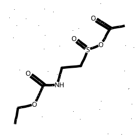 CCOC(=O)NCCS(=O)OC(C)=O